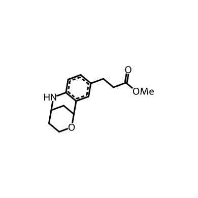 COC(=O)CCc1ccc2c(c1)C1CC(CCO1)N2